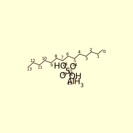 CCCCCCCCCCCCCC.O=S(=O)(O)O.[AlH3]